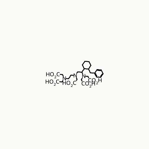 O=C(O)CN(CCN(CC(=O)O)CC(C1CCCCC1Cc1ccccc1)N(CC(=O)O)CC(=O)O)CC(=O)O